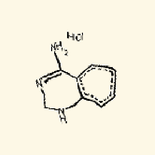 Cl.NC1=NCNc2ccccc21